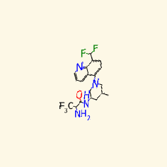 CC1CC(NC(=O)C(N)C(F)(F)F)CN(c2ccc(C(F)F)c3ncccc23)C1